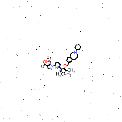 C/C=C(\C(OCc1ccc2c(c1)CCCN(C1CCCCC1)CC2)=C(C)C)c1cccc(-n2ncc(C(=O)O)c2CC)n1